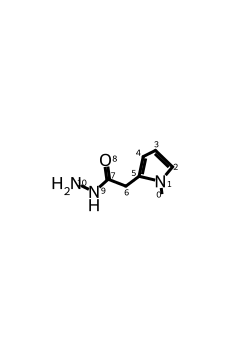 Cn1cccc1CC(=O)NN